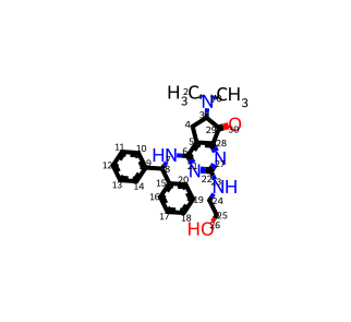 CN(C)C1Cc2c(NC(c3ccccc3)c3ccccc3)nc(NCCO)nc2C1=O